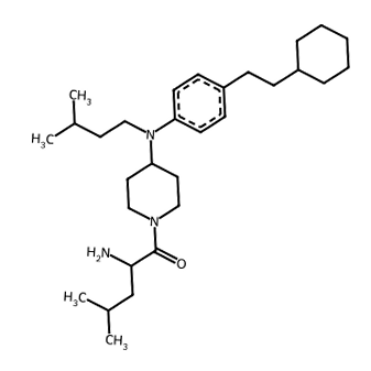 CC(C)CCN(c1ccc(CCC2CCCCC2)cc1)C1CCN(C(=O)C(N)CC(C)C)CC1